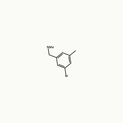 CNCc1cc(C)cc(Br)c1